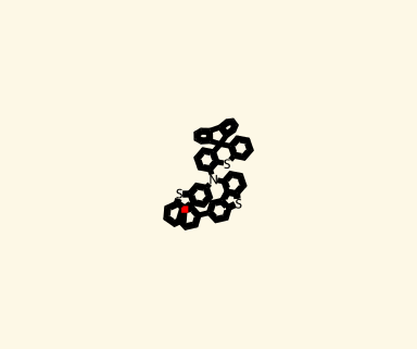 c1ccc(-c2ccc3sc4cccc(N(c5ccc6c(c5)sc5ccccc56)c5cccc6c5Sc5ccccc5C65c6ccccc6-c6ccccc65)c4c3c2)cc1